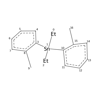 C[CH2][Sn]([CH2]C)([c]1ccccc1C)[c]1ccccc1C